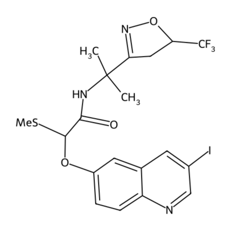 CSC(Oc1ccc2ncc(I)cc2c1)C(=O)NC(C)(C)C1=NOC(C(F)(F)F)C1